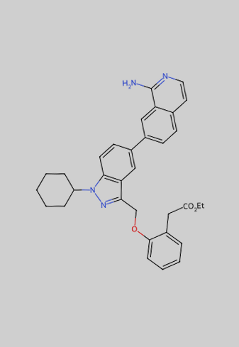 CCOC(=O)Cc1ccccc1OCc1nn(C2CCCCC2)c2ccc(-c3ccc4ccnc(N)c4c3)cc12